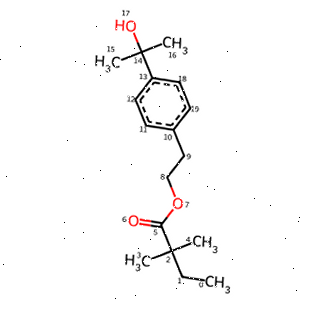 CCC(C)(C)C(=O)OCCc1ccc(C(C)(C)O)cc1